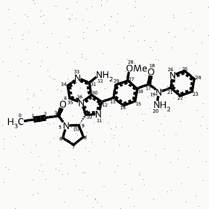 CC#CC(=O)N1CCC[C@H]1c1nc(-c2ccc(C(=O)N(N)c3ccccn3)c(OC)c2)c2c(N)nccn12